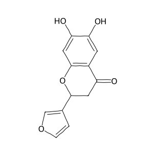 O=C1CC(c2ccoc2)Oc2cc(O)c(O)cc21